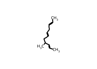 CC=CCC=CCC(C)C=CC